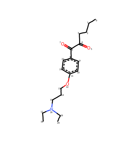 CCCCC(=O)C(=O)c1ccc(OCCCN(CC)CC)cc1